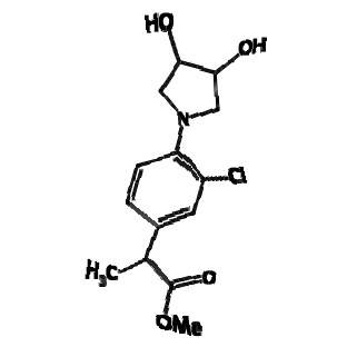 COC(=O)C(C)c1ccc(N2CC(O)C(O)C2)c(Cl)c1